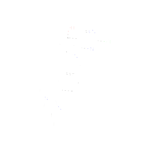 CC(C)n1cc(C(F)(F)F)nc1-c1ccc(CN2c3nc(Cl)ncc3C3(O)CC2C3)cc1